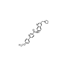 COc1ccc(-c2ccc(C(=O)Nc3ccc4cc(CN5CCCC5)cnc4c3)cn2)cc1